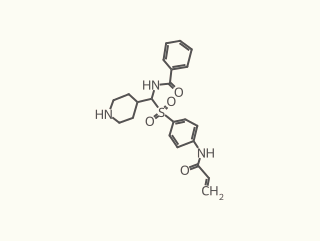 C=CC(=O)Nc1ccc(S(=O)(=O)C(NC(=O)c2ccccc2)C2CCNCC2)cc1